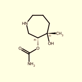 C[C@]1(O)CCCNC[C@H]1OC(N)=O